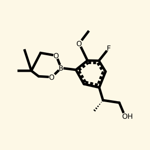 COc1c(F)cc([C@@H](C)CO)cc1B1OCC(C)(C)CO1